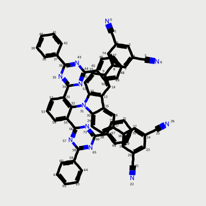 N#Cc1cc(C#N)cc(-c2ccc3c(c2)c2cc(-c4cc(C#N)cc(C#N)c4)ccc2n3-c2c(-c3nc(-c4ccccc4)nc(-c4ccccc4)n3)cccc2-c2nc(-c3ccccc3)nc(-c3ccccc3)n2)c1